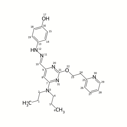 CCCN(CCC)c1cc(/C=N/Nc2ccc(O)cc2)nc(OCCc2ccccn2)n1